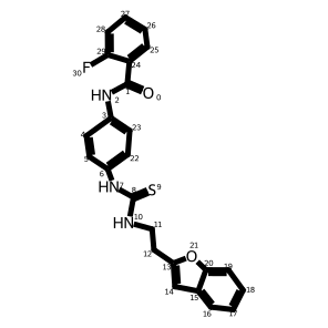 O=C(Nc1ccc(NC(=S)NCCc2cc3ccccc3o2)cc1)c1ccccc1F